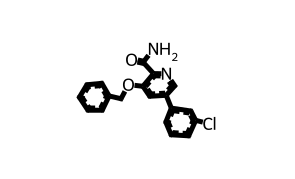 NC(=O)c1ncc(-c2cccc(Cl)c2)cc1OCc1ccccc1